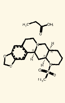 CCC(=O)O.CS(=O)(=O)N1CCC[C@@H]2CN3CCc4cc5c(cc4[C@@H]3C[C@@H]21)OCO5